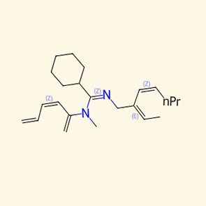 C=C/C=C\C(=C)N(C)/C(=N\CC(/C=C\CCC)=C/C)C1CCCCC1